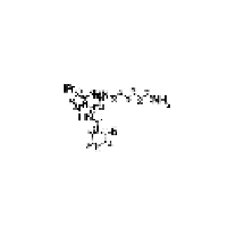 CC(C)c1cnn2c(NCc3ccccc3F)cc(NCCCCCCN)nc12